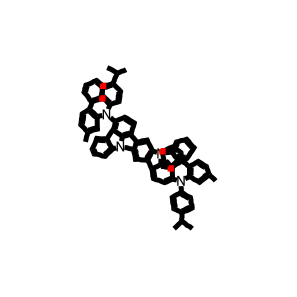 Cc1ccc(-c2ccccc2)c(N(c2ccc(C(C)C)cc2)c2ccc3c4cc5c(cc4n4c6ccccc6c2c34)c2ccc(N(c3ccc(C(C)C)cc3)c3cc(C)ccc3-c3ccccc3)c3c4ccccc4n5c23)c1